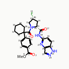 COC(=O)c1ccc(C2(C(=O)N3C[C@H](F)C[C@@H]3C(=O)Nc3ccc4[nH]ncc4n3)CCCCC2)cc1